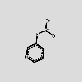 CC[S+]([O-])Nc1cccnc1